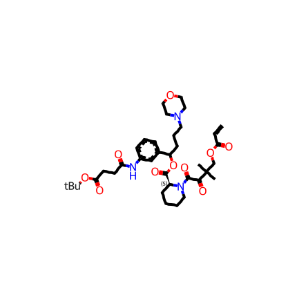 C=CC(=O)OCC(C)(C)C(=O)C(=O)N1CCCC[C@H]1C(=O)OC(CCCN1CCOCC1)c1cccc(NC(=O)CCC(=O)OC(C)(C)C)c1